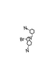 N#Cc1cccc(Cn2cc(Br)c3cc(C#N)ccc32)c1